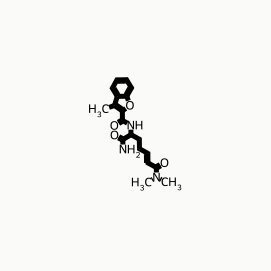 Cc1c(C(=O)NC(CCC=CC(=O)N(C)C)C(N)=O)oc2ccccc12